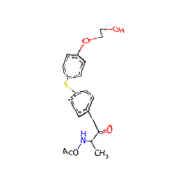 CC(=O)ONC(C)C(=O)c1ccc(Sc2ccc(OCCO)cc2)cc1